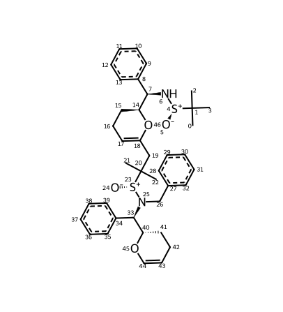 CC(C)(C)[S@@+]([O-])N[C@H](c1ccccc1)[C@@H]1CCC=C(CC(C)(C)[S@@+]([O-])N(Cc2ccccc2)[C@H](c2ccccc2)[C@@H]2CCC=CO2)O1